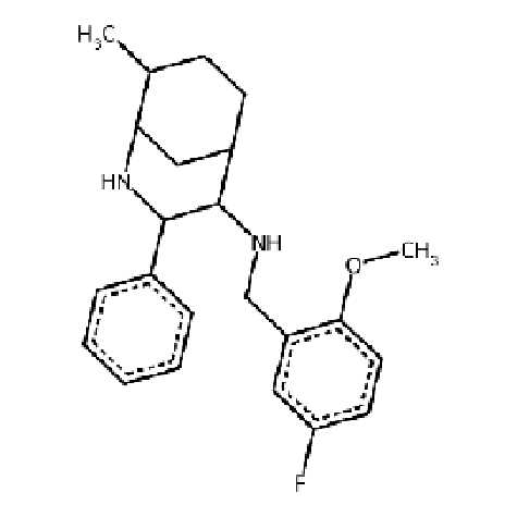 COc1ccc(F)cc1CNC1C2CCC(C)C(C2)NC1c1ccccc1